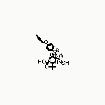 CC#CCOc1ccc(S(=O)(=O)NC2(C(=O)NO)CCN(C(=O)O)C(C(C)(C)C)C2)cc1